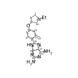 CCN1CCC(Oc2ccc(-c3nc4c(N)nc(N)nc4[nH]3)c(C)c2)C1